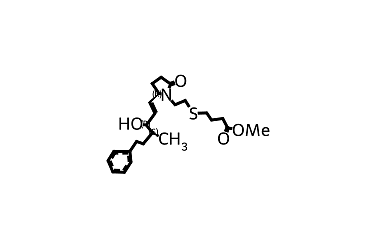 COC(=O)CCCSCCN1C(=O)CC[C@@H]1C=C[C@H](O)[C@@H](C)CCc1ccccc1